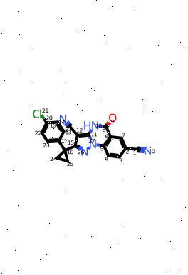 N#Cc1ccc2c(c1)c(=O)[nH]c1c(C#N)c(C3(c4ccc(Cl)cc4)CC3)nn12